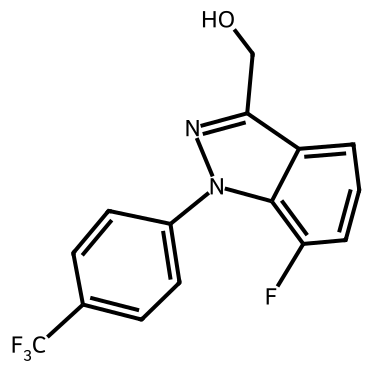 OCc1nn(-c2ccc(C(F)(F)F)cc2)c2c(F)cccc12